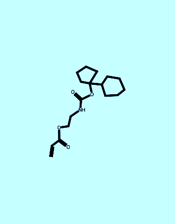 C=CC(=O)OCCNC(=O)OC1(C2CCCCC2)CCCC1